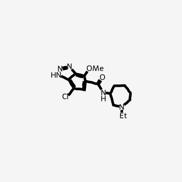 CCN1CCCCC(NC(=O)c2cc(Cl)c3[nH]nnc3c2OC)C1